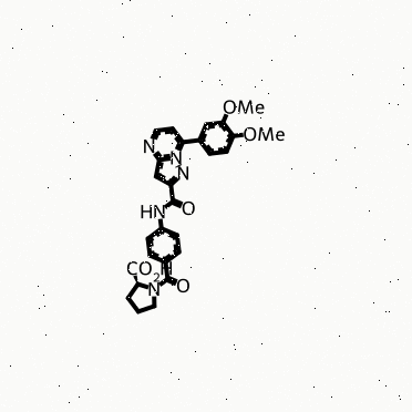 COc1ccc(-c2ccnc3cc(C(=O)Nc4ccc(C(=O)N5CCC[C@H]5C(=O)O)cc4)nn23)cc1OC